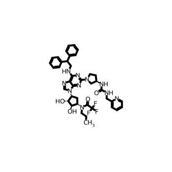 CCCN(C(=O)C(F)(F)F)[C@H]1C[C@@H](n2cnc3c(NCC(c4ccccc4)c4ccccc4)nc(N4CC[C@@H](NC(=O)NCc5ccccn5)C4)nc32)[C@@H](O)[C@@H]1O